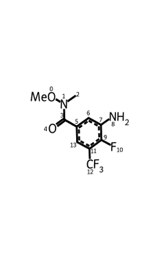 CON(C)C(=O)c1cc(N)c(F)c(C(F)(F)F)c1